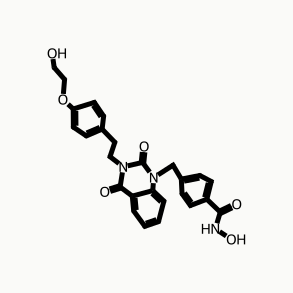 O=C(NO)c1ccc(Cn2c(=O)n(CCc3ccc(OCCO)cc3)c(=O)c3ccccc32)cc1